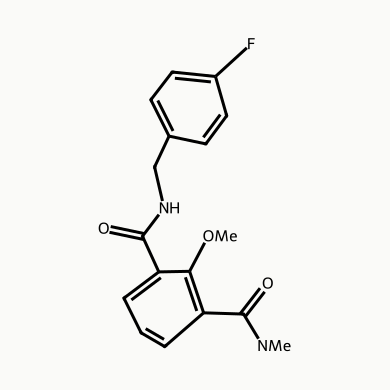 CNC(=O)c1cccc(C(=O)NCc2ccc(F)cc2)c1OC